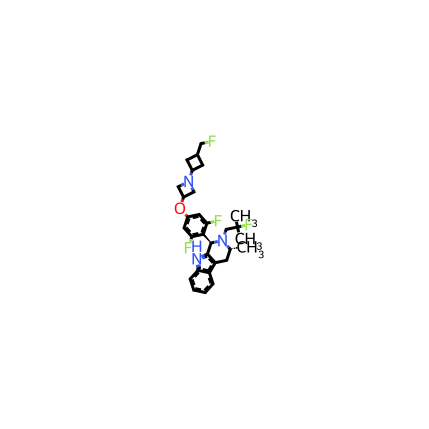 C[C@@H]1Cc2c([nH]c3ccccc23)[C@@H](c2c(F)cc(OC3CN(C4CC(CF)C4)C3)cc2F)N1CC(C)(C)F